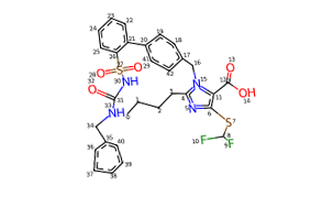 CCCCc1nc(SC(F)F)c(C(=O)O)n1Cc1ccc(-c2ccccc2S(=O)(=O)NC(=O)NCc2ccccc2)cc1